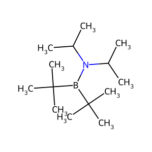 CC(C)N(B(C(C)(C)C)C(C)(C)C)C(C)C